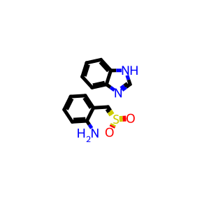 Nc1ccccc1C=S(=O)=O.c1ccc2[nH]cnc2c1